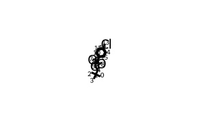 CC(C)(C)COS(=O)(=O)c1ccc(Cl)cc1